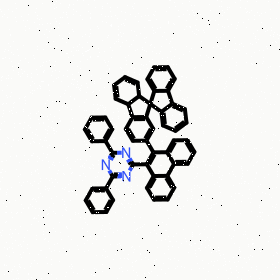 C1=CC2c3ccc(-c4c(-c5nc(-c6ccccc6)nc(-c6ccccc6)n5)c5ccccc5c5ccccc45)cc3C3(c4ccccc4-c4ccccc43)C2C=C1